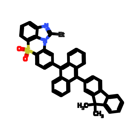 CCc1nc2cccc3c2n1-c1cc(-c2c4ccccc4c(-c4ccc5c(c4)C(C)(C)c4ccccc4-5)c4ccccc24)ccc1S3(=O)=O